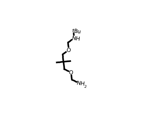 CC(C)(COCN)COCNC(C)(C)C